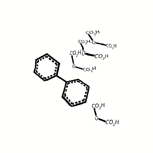 O=C(O)OC(=O)O.O=C(O)OC(=O)O.O=C(O)OC(=O)O.O=C(O)OC(=O)O.c1ccc(-c2ccccc2)cc1